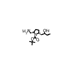 CCC(O)C[C@@H]1CC[C@H](CN)N1C(=O)OC(C)(C)C